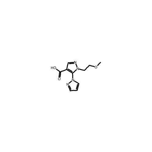 COCCn1ncc(C(=O)O)c1-n1cccn1